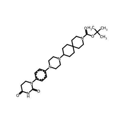 CC(C)(C)OC(=O)N1CCC2(CCC(N3CCN(c4ccc(N5CCC(=O)NC5=O)cc4)CC3)CC2)CC1